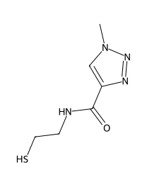 Cn1cc(C(=O)NCCS)nn1